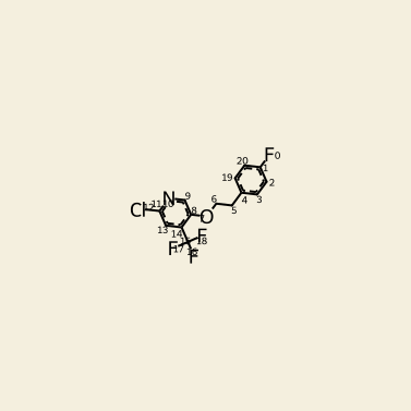 Fc1ccc(CCOc2cnc(Cl)cc2C(F)(F)F)cc1